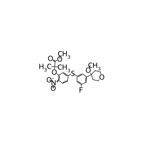 COC(=O)C(C)(C)Oc1cc(Sc2cc(F)cc(C3(OC)CCOCC3)c2)ccc1[N+](=O)[O-]